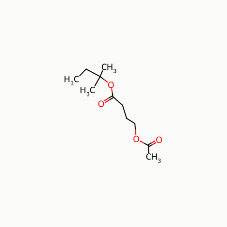 CCC(C)(C)OC(=O)CCCOC(C)=O